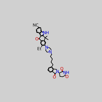 CCc1cc2c(cc1N1CCN(CCCCCc3cccc4c3CN(C3CCC(=O)NC3=O)C4=O)CC1)C(C)(C)c1[nH]c3cc(C#N)ccc3c1C2=O